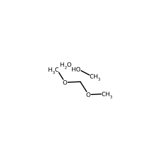 CO.COCOC.O